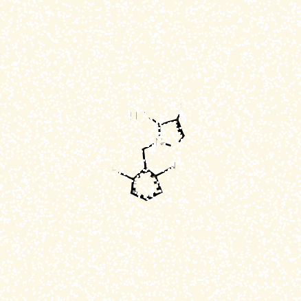 NC1C(Cl)=CSN1Cc1c(F)cccc1F